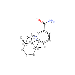 CO[C@]1(c2cccc(C(N)=O)c2)[C@@H]2CCC[C@H]1CNC2